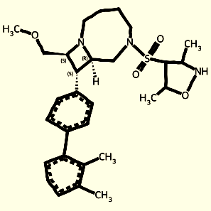 COC[C@@H]1[C@@H](c2ccc(-c3cccc(C)c3C)cc2)[C@@H]2CN(S(=O)(=O)C3C(C)NOC3C)CCCCN12